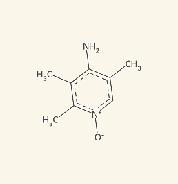 Cc1c[n+]([O-])c(C)c(C)c1N